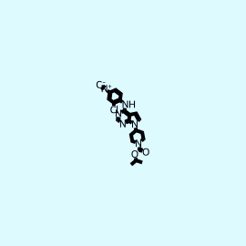 [C-]#[N+]c1ccc(Nc2ncnc3c2ccn3C2CCN(C(=O)OC(C)C)CC2)c(Cl)c1